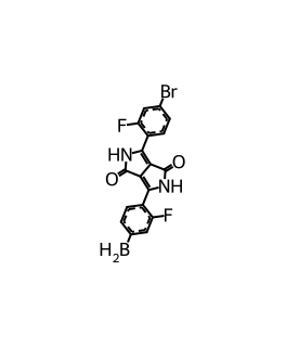 Bc1ccc(C2=C3C(=O)NC(c4ccc(Br)cc4F)=C3C(=O)N2)c(F)c1